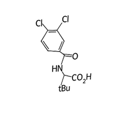 CC(C)(C)C(NC(=O)c1ccc(Cl)c(Cl)c1)C(=O)O